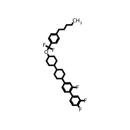 CCCCCc1ccc(C(F)(F)OC2CCC(C3CCC(c4ccc(-c5ccc(F)c(F)c5)c(F)c4)CC3)CC2)cc1